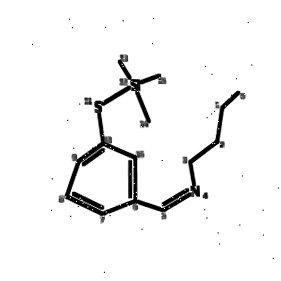 CCCC/N=C\c1cccc(S[Si](C)(C)C)c1